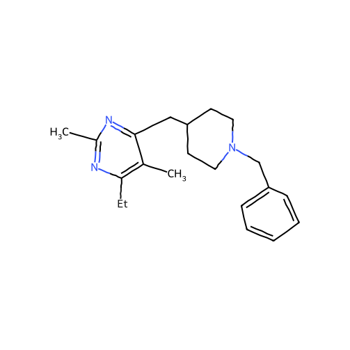 CCc1nc(C)nc(CC2CCN(Cc3ccccc3)CC2)c1C